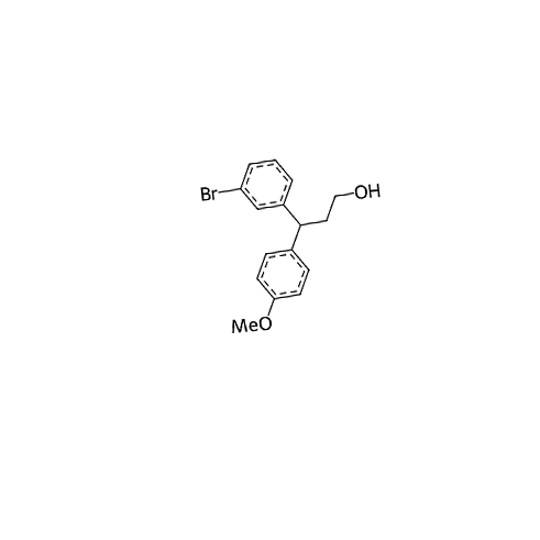 COc1ccc(C(CCO)c2cccc(Br)c2)cc1